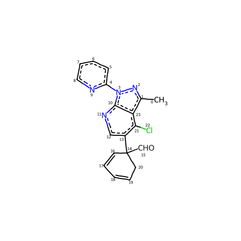 Cc1nn(-c2ccccn2)c2ncc(C3(C=O)C=CC=CC3)c(Cl)c12